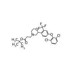 CC(C)(C)OC(=O)CCN1CCOC(c2ccc(Oc3c(Cl)cccc3Cl)cc2C(F)(F)F)C1